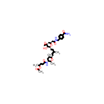 CC(=O)OC(C)C=CC(=O)N[C@@H]1C[C@H](C)[C@H](CC=C(C)C=C[C@H]2O[C@H](CC(=O)NCc3ccc(C(N)=O)cc3)C[C@@]3(CO3)[C@@H]2O)O[C@@H]1C